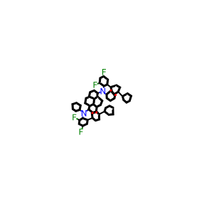 Fc1cc(F)c(N(c2ccccc2)c2ccc3ccc4c(N(c5ccccc5)c5c(F)cc(F)cc5-c5ccc(-c6ccccc6)cc5)ccc5ccc2c3c54)c(-c2ccc(-c3ccccc3)cc2)c1